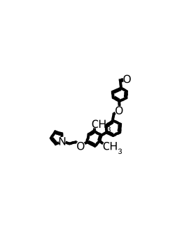 Cc1cc(OCCn2cccc2)cc(C)c1-c1cccc(COc2ccc(C=O)cc2)c1